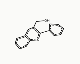 OCc1cc2ccccc2nc1-c1ccccc1